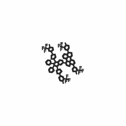 Cc1ccc(-c2ccc(-c3c(-c4ccccc4)c(-c4ccccc4)c(-c4ccc(-c5ccc(C)c(C(F)(F)F)c5)cc4)c4cc(-c5ccc6c(-c7ccc(C)c(C(F)(F)F)c7)ccc7c8ccc(-c9ccc(C)c(C(F)(F)F)c9)c9cccc(c5c67)c98)ccc34)cc2)cc1C(F)(F)F